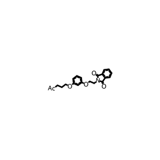 CC(=O)CCCOc1cccc(OCCN2C(=O)c3ccccc3C2=O)c1